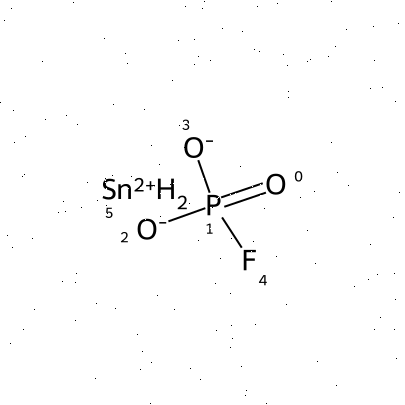 O=P([O-])([O-])F.[SnH2+2]